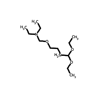 CCOC(OCC)[SiH2]CCOCN(CC)CC